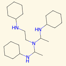 CC(NC1CCCCC1)N(CCNC1CCCCC1)C(C)NC1CCCCC1